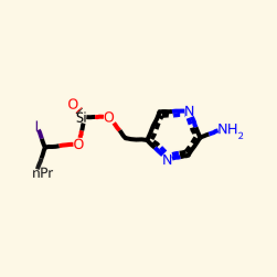 CCCC(I)O[Si](=O)OCc1cnc(N)cn1